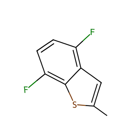 Cc1cc2c(F)ccc(F)c2s1